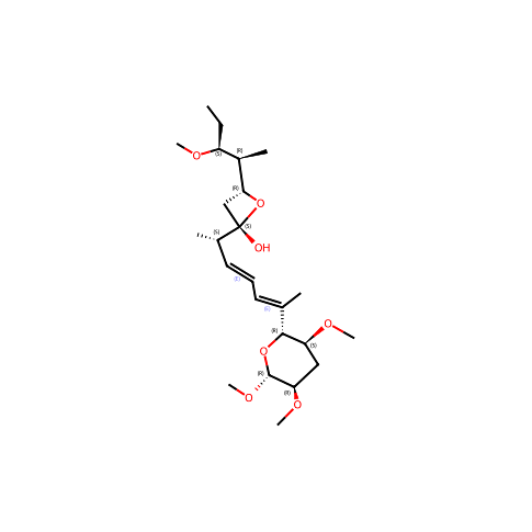 CC[C@H](OC)[C@@H](C)[C@H]1C[C@@](O)([C@@H](C)/C=C/C=C(\C)[C@H]2O[C@@H](OC)[C@H](OC)C[C@@H]2OC)O1